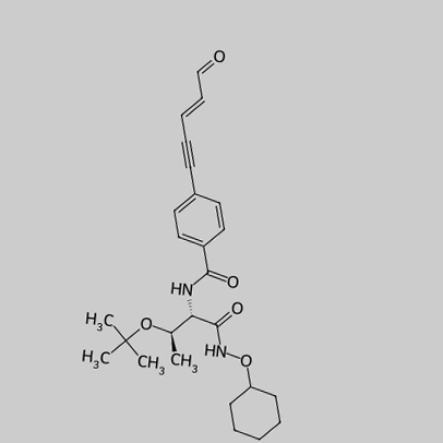 C[C@@H](OC(C)(C)C)[C@H](NC(=O)c1ccc(C#C/C=C/C=O)cc1)C(=O)NOC1CCCCC1